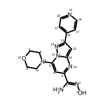 NC(=NO)c1cc(N2CCOCC2)n2nc(-c3ccncc3)cc2n1